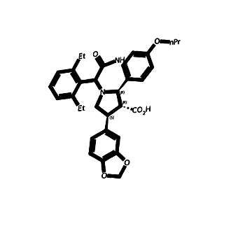 CCCOc1ccc([C@H]2[C@H](C(=O)O)[C@@H](c3ccc4c(c3)OCO4)CN2C(C(N)=O)c2c(CC)cccc2CC)cc1